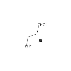 CCCCCC=O.[B]